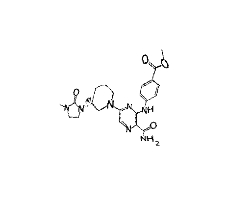 COC(=O)c1ccc(Nc2nc(N3CCC[C@@H](N4CCN(C)C4=O)C3)cnc2C(N)=O)cc1